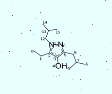 CCc1c(O)c(CC(C)C)nn1CC(C)C